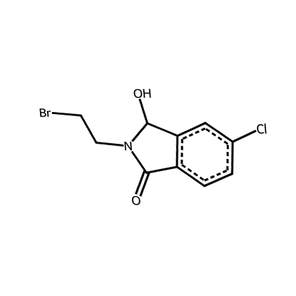 O=C1c2ccc(Cl)cc2C(O)N1CCBr